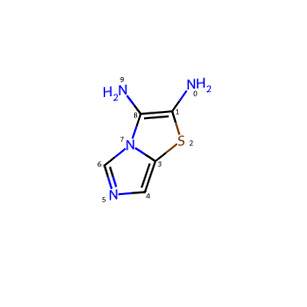 Nc1sc2cncn2c1N